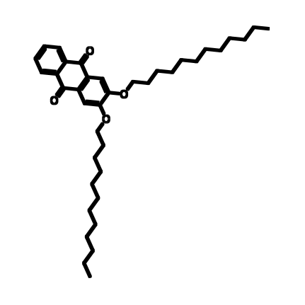 CCCCCCCCCCCCOc1cc2c(cc1OCCCCCCCCCCCC)C(=O)c1ccccc1C2=O